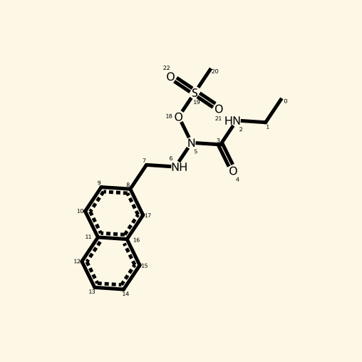 CCNC(=O)N(NCc1ccc2ccccc2c1)OS(C)(=O)=O